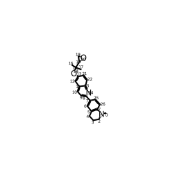 CN1CCCc2cc(-c3ccc4cc(OC(C)(C)C5CO5)ccc4n3)ccc21